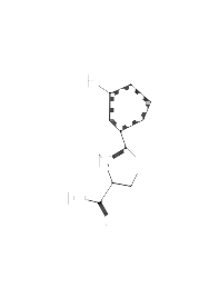 O=C(O)C1CSC(c2cccc(F)c2)=N1